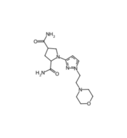 NC(=O)C1CC(C(N)=O)N(c2ccn(CCN3CCOCC3)n2)C1